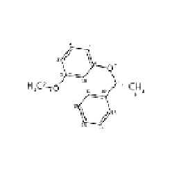 COc1cccc(O[C@H](C)c2ccccc2)c1